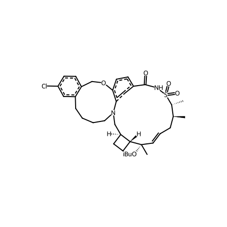 CC(C)CO[C@@]1(C)/C=C/C[C@H](C)[C@@H](C)S(=O)(=O)NC(=O)c2ccc3c(c2)N(CCCCc2cc(Cl)ccc2CO3)C[C@@H]2CC[C@H]21